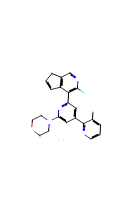 Cc1cccnc1-c1cc(-c2c(F)ncc3c2C=CC3)nc(N2CCOC[C@H]2C)c1